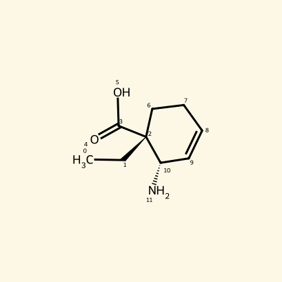 CC[C@@]1(C(=O)O)CCC=C[C@@H]1N